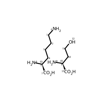 NCCCC[C@H](N)C(=O)O.N[C@@H](CCO)C(=O)O